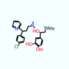 CN(C)CCC(c1ccc(Cl)cc1)c1ccccn1.CNC[C@H](O)c1ccc(O)c(O)c1